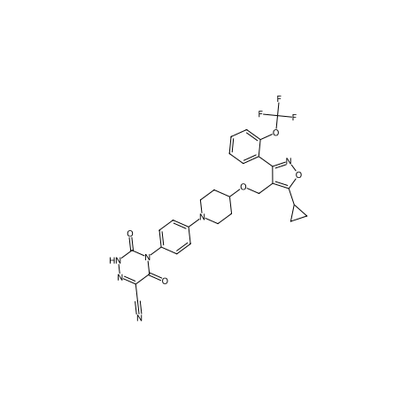 N#Cc1n[nH]c(=O)n(-c2ccc(N3CCC(OCc4c(-c5ccccc5OC(F)(F)F)noc4C4CC4)CC3)cc2)c1=O